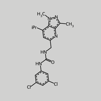 Cc1nn(C)c2c(C(C)C)cc(CNC(=O)Nc3cc(Cl)cc(Cl)c3)nc12